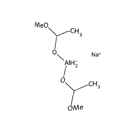 COC(C)[O][AlH2-][O]C(C)OC.[Na+]